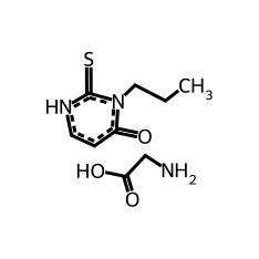 CCCn1c(=O)cc[nH]c1=S.NCC(=O)O